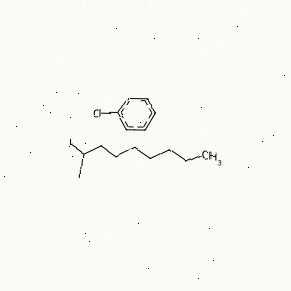 CCCCCCCC(I)I.Clc1ccccc1